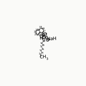 C=O.CCCCCCCCCCOS(=O)(=O)c1cccc2ccccc12.[NaH]